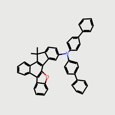 CC1(C)c2ccc(N(c3ccc(-c4ccccc4)cc3)c3ccc(-c4ccccc4)cc3)cc2-c2c1c1ccccc1c1c2oc2ccccc21